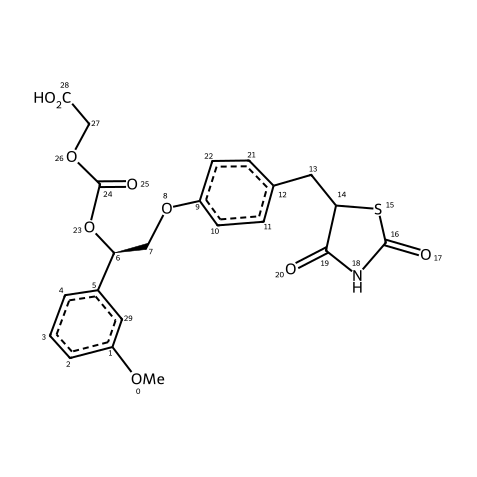 COc1cccc([C@H](COc2ccc(CC3SC(=O)NC3=O)cc2)OC(=O)OCC(=O)O)c1